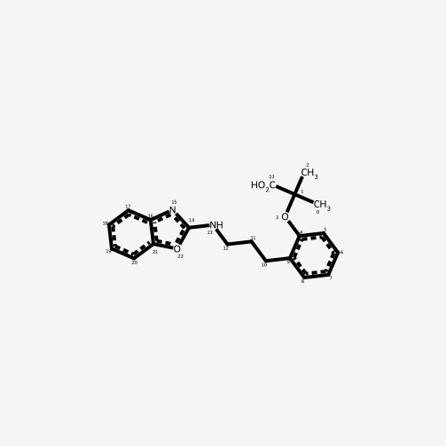 CC(C)(Oc1ccccc1CCCNc1nc2ccccc2o1)C(=O)O